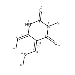 C/C=c1/[nH]c(=O)n(C)c(=O)/c1=C/SC